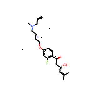 C=CCN(C)C/C=C/COc1ccc(C(=O)C[C@H](O)C=C(C)C)c(F)c1